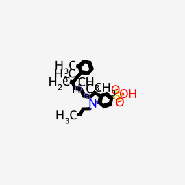 C=C(/C=C/C=C1/N(CCCC)c2ccc(S(=O)(=O)O)cc2C1(C)C)C(C)(C)c1ccccc1C